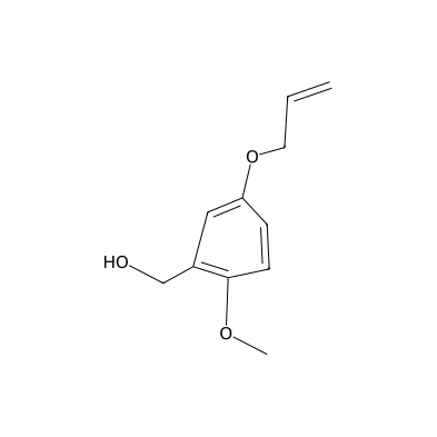 C=CCOc1ccc(OC)c(CO)c1